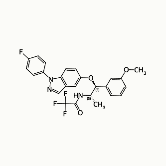 COc1cccc([C@H](Oc2ccc3c(cnn3-c3ccc(F)cc3)c2)[C@H](C)NC(=O)C(F)(F)F)c1